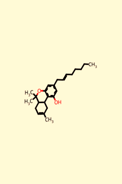 CCCCC/C=C/Cc1cc(O)c2c(c1)OC(C)(C)C1CC=C(C)CC21